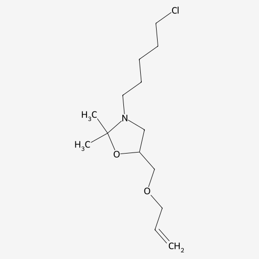 C=CCOCC1CN(CCCCCCl)C(C)(C)O1